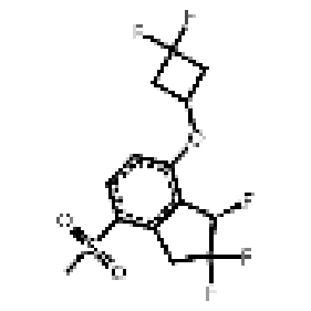 CS(=O)(=O)c1ccc(OC2CC(F)(F)C2)c2c1CC(F)(F)[C@@H]2F